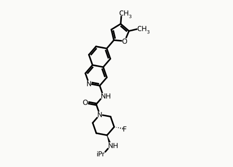 Cc1cc(-c2ccc3cnc(NC(=O)N4CC[C@H](NC(C)C)[C@@H](F)C4)cc3c2)oc1C